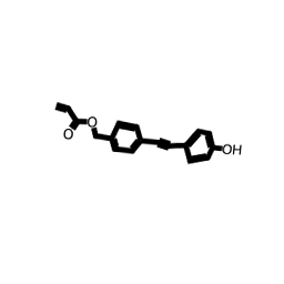 C=CC(=O)OCc1ccc(C#Cc2ccc(O)cc2)cc1